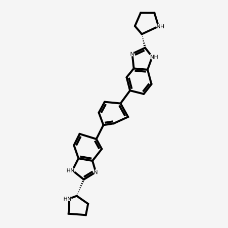 c1cc(-c2ccc3[nH]c([C@@H]4CCCN4)nc3c2)ccc1-c1ccc2[nH]c([C@@H]3CCCN3)nc2c1